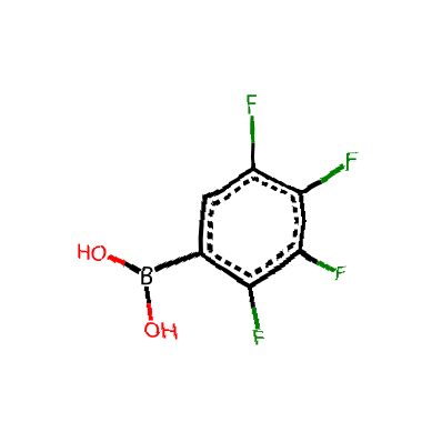 OB(O)c1cc(F)c(F)c(F)c1F